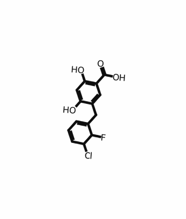 O=C(O)c1cc(CC2=CC=CC(Cl)C2F)c(O)cc1O